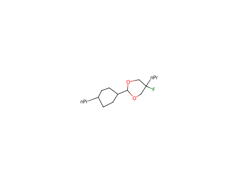 CCCC1CCC(C2OCC(F)(CCC)CO2)CC1